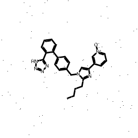 CCCCc1nc(-c2ccc[n+]([O-])c2)cn1Cc1ccc(-c2ccccc2-c2nnn[nH]2)cc1